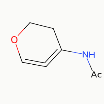 CC(=O)NC1=C=COCC1